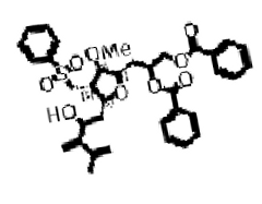 C=C(C)C(=C)C(O)C[C@@H]1O[C@H](CC(COC(=O)c2ccccc2)OC(=O)c2ccccc2)[C@H](OC)[C@H]1CS(=O)(=O)c1ccccc1